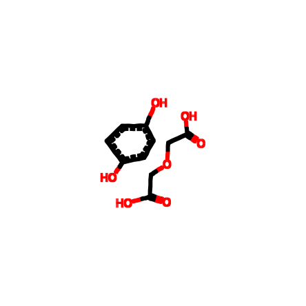 O=C(O)COCC(=O)O.Oc1ccc(O)cc1